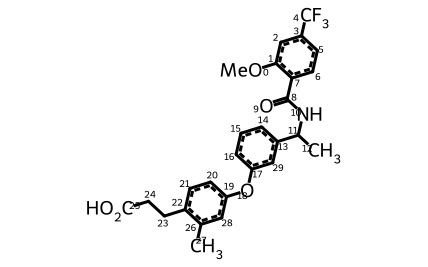 COc1cc(C(F)(F)F)ccc1C(=O)NC(C)c1cccc(Oc2ccc(CCC(=O)O)c(C)c2)c1